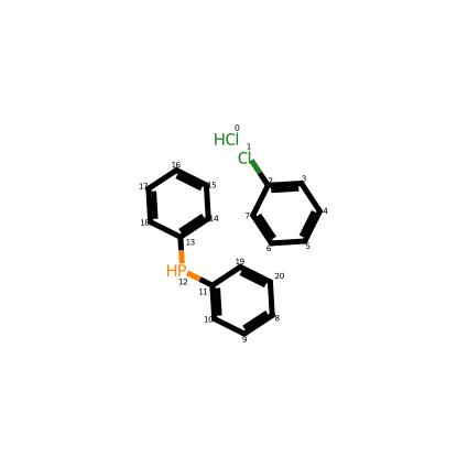 Cl.Clc1ccccc1.c1ccc(Pc2ccccc2)cc1